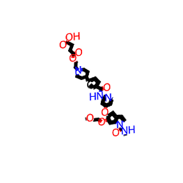 CNC(=O)n1ccc2cc(Oc3ccnc(NC(=O)c4ccc(C5CCN(CCOC(=O)CCC(=O)O)CC5)cc4)c3)c(OCCOC)cc21